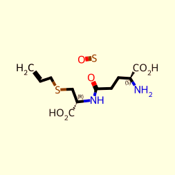 C=CCSC[C@H](NC(=O)CC[C@H](N)C(=O)O)C(=O)O.O=S